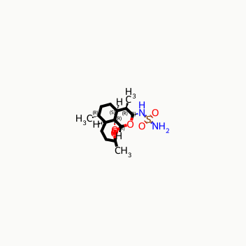 C[C@H]1[C@H](NS(N)(=O)=O)O[C@@H]2OC3(C)CC[C@H]4[C@H](C)CC[C@@H]1[C@@]24OO3